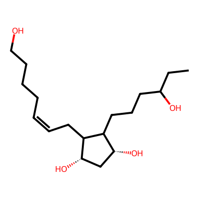 CCC(O)CCCC1C(C/C=C\CCCCO)[C@@H](O)C[C@H]1O